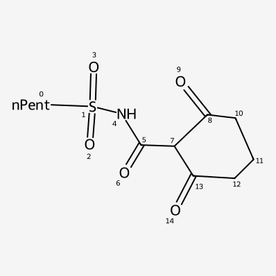 CCCCCS(=O)(=O)NC(=O)C1C(=O)CCCC1=O